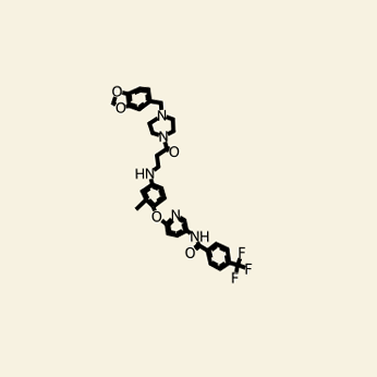 Cc1cc(NCCC(=O)N2CCN(Cc3ccc4c(c3)OCO4)CC2)ccc1Oc1ccc(NC(=O)c2ccc(C(F)(F)F)cc2)cn1